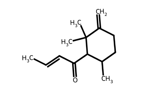 C=C1CCC(C)C(C(=O)C=CC)C1(C)C